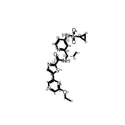 CCOc1cncc(-c2cnc(C(=O)N[C@@H](CC)c3cc(NS(=O)(=O)C4CC4)ccn3)s2)n1